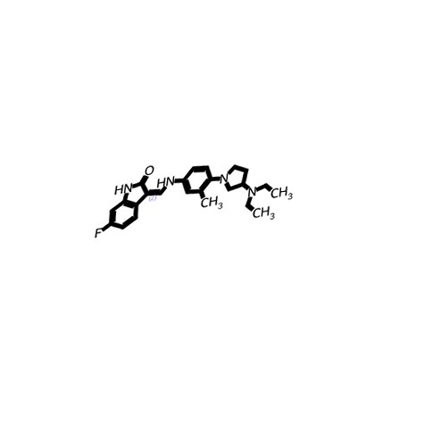 CCN(CC)C1CCN(c2ccc(N/C=C3\C(=O)Nc4cc(F)ccc43)cc2C)C1